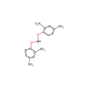 O=[N+]([O-])c1ccc(OBOc2ccc([N+](=O)[O-])cc2[N+](=O)[O-])c([N+](=O)[O-])c1